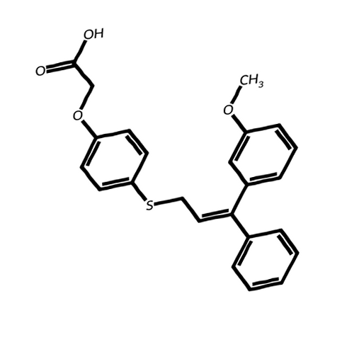 COc1cccc(/C(=C\CSc2ccc(OCC(=O)O)cc2)c2ccccc2)c1